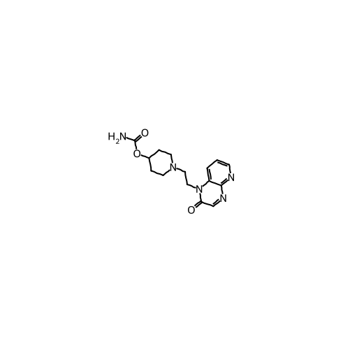 NC(=O)OC1CCN(CCn2c(=O)cnc3ncccc32)CC1